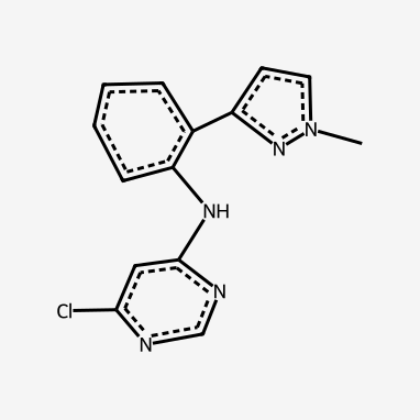 Cn1ccc(-c2ccccc2Nc2cc(Cl)ncn2)n1